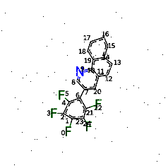 Fc1c(F)c(F)c(-c2cnc3c(ccc4ccccc43)c2)c(F)c1F